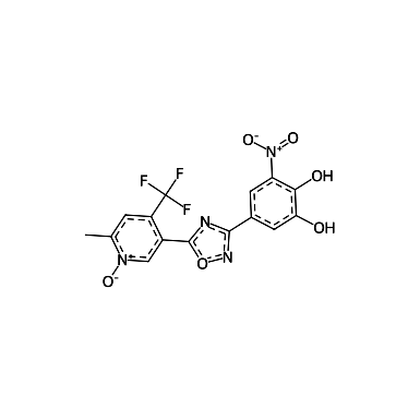 Cc1cc(C(F)(F)F)c(-c2nc(-c3cc(O)c(O)c([N+](=O)[O-])c3)no2)c[n+]1[O-]